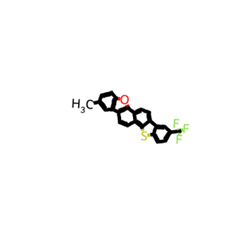 Cc1ccc2oc3c(ccc4c3ccc3c5cc(C(F)(F)F)ccc5sc34)c2c1